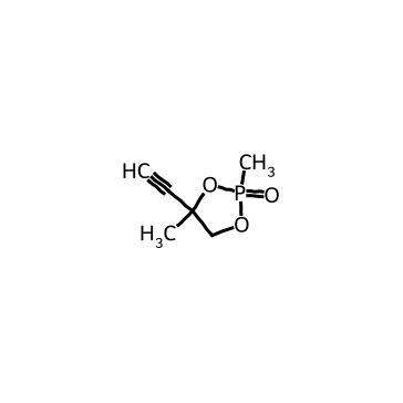 C#CC1(C)COP(C)(=O)O1